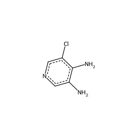 Nc1cncc(Cl)c1N